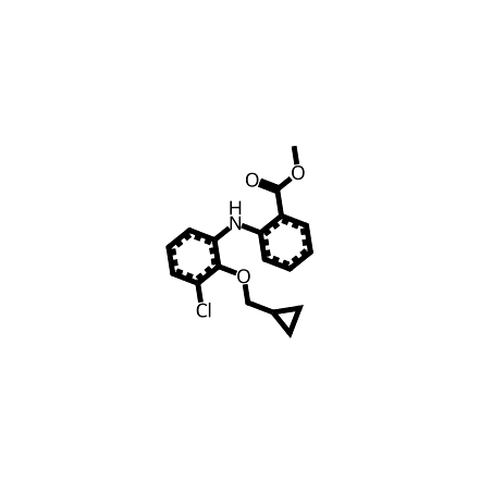 COC(=O)c1ccccc1Nc1cccc(Cl)c1OCC1CC1